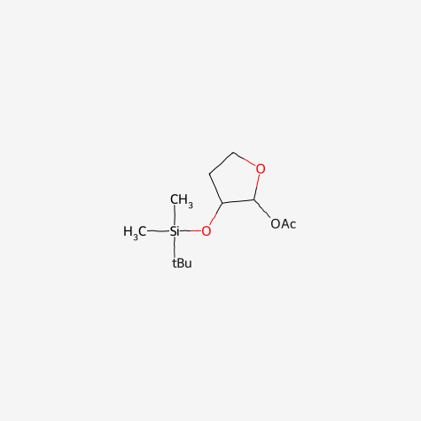 CC(=O)OC1OCCC1O[Si](C)(C)C(C)(C)C